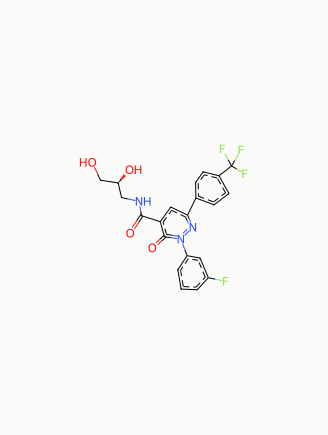 O=C(NC[C@H](O)CO)c1cc(-c2ccc(C(F)(F)F)cc2)nn(-c2cccc(F)c2)c1=O